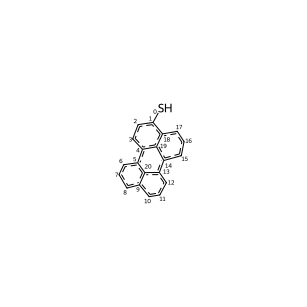 Sc1ccc2c3cccc4cccc(c5cccc1c52)c43